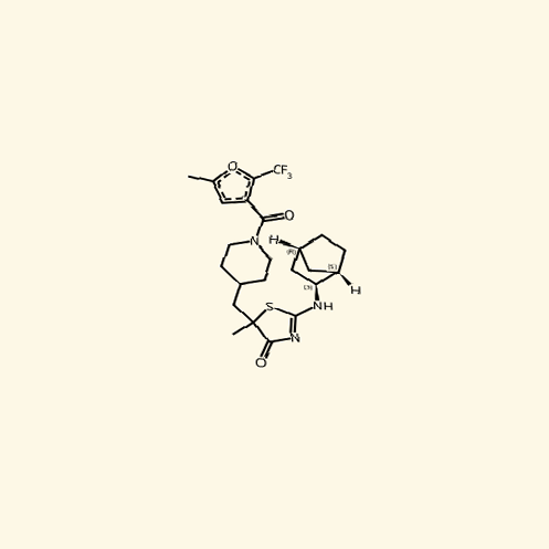 Cc1cc(C(=O)N2CCC(CC3(C)SC(N[C@H]4C[C@@H]5CC[C@H]4C5)=NC3=O)CC2)c(C(F)(F)F)o1